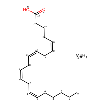 CCCCC/C=C\C/C=C\C/C=C\C/C=C\CCCC(=O)O.[MgH2]